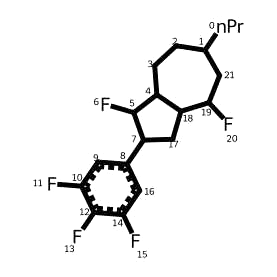 CCCC1CCC2C(F)C(c3cc(F)c(F)c(F)c3)CC2C(F)C1